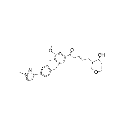 COc1nc(C(=O)C/C=C/CC2COCC[C@@H]2O)cc(Cc2ccc(-c3ccn(C)n3)cc2)c1C